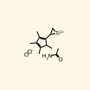 CC(N)=O.CC1=C(C)C(C)C([CH]2[CH2][Ti+2]2)=C1C.[Cl-].[Cl-]